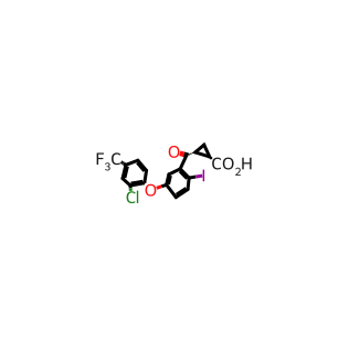 O=C(O)[C@@H]1C[C@H]1C(=O)c1cc(Oc2ccc(C(F)(F)F)cc2Cl)ccc1I